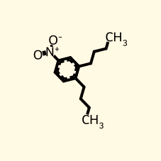 CCCCc1ccc([N+](=O)[O-])cc1CCCC